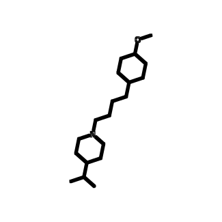 COC1CCC(CCCCN2CCC(C(C)C)CC2)CC1